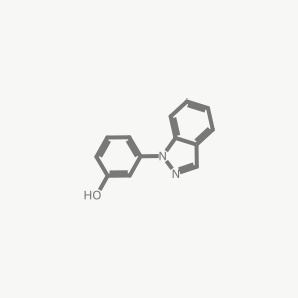 Oc1cccc(-n2ncc3cc[c]cc32)c1